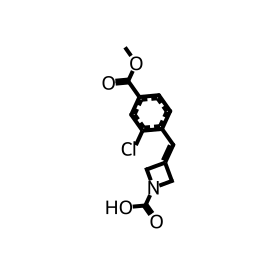 COC(=O)c1ccc(C=C2CN(C(=O)O)C2)c(Cl)c1